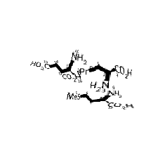 CC(C)C[C@H](N)C(=O)O.CSCC[C@H](N)C(=O)O.N[C@@H](CCC(=O)O)C(=O)O